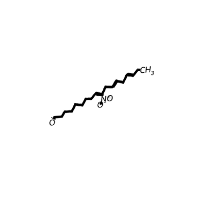 CC/C=C/C/C=C/C/C(=C/CCCCCCC[C]=O)[N+](=O)[O-]